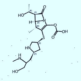 CNC(CO)C[C@@H]1C[C@H](SC2=C(OC(=O)O)N3C(=O)[C@H]([C@@H](C)O)[C@@H]3[C@H]2C)CN1